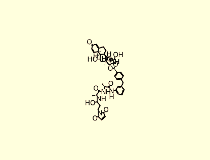 C[C@H](NC(=O)[C@H](C)NC(O)CCN1C(=O)C=CC1=O)C(=O)Nc1cccc(Cc2ccc([C@@H]3O[C@@H]4C[C@H]5[C@@H]6CCC7=CC(=O)C=C[C@]7(C)[C@H]6[C@@H](O)C[C@]5(C)[C@]4(C(=O)CO)O3)cc2)c1